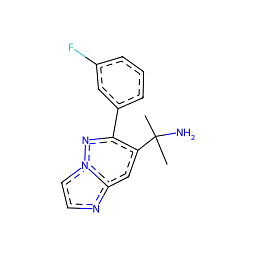 CC(C)(N)c1cc2nccn2nc1-c1cccc(F)c1